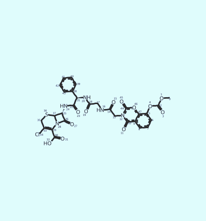 COC(=O)Oc1cccc2c(=O)n(CC(=O)NCC(=O)N[C@@H](C(=O)N[C@@H]3C(=O)N4C(C(=O)O)=C(Cl)CSC34)c3ccccc3)c(=O)oc12